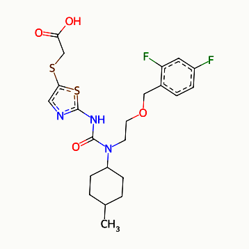 CC1CCC(N(CCOCc2ccc(F)cc2F)C(=O)Nc2ncc(SCC(=O)O)s2)CC1